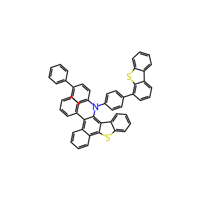 c1ccc(-c2ccc(N(c3ccc(-c4cccc5c4sc4ccccc45)cc3)c3c(-c4ccccc4)c4ccccc4c4sc5ccccc5c34)cc2)cc1